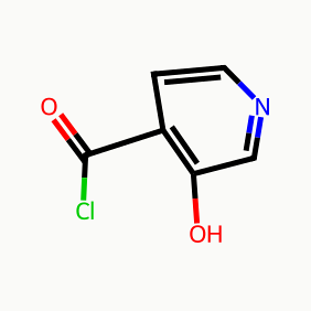 O=C(Cl)c1ccncc1O